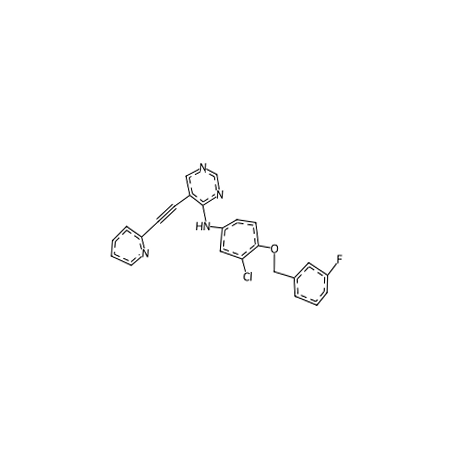 Fc1cccc(COc2ccc(Nc3ncncc3C#Cc3ccccn3)cc2Cl)c1